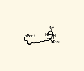 CCCCC/C=C\C/C=C\CCCCCCCCC1(CCCCCCCCCC)O[C@H]2C[C@H](N(C)C)C[C@H]2O1